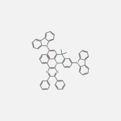 CC1(C)c2cc(-n3c4ccccc4c4ccccc43)ccc2N(c2nc(-c3ccccc3)c(-c3ccccc3)nc2-c2ccccc2)c2ccc(-n3c4ccccc4c4ccccc43)cc21